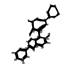 Cc1cc(C2CCCCC2)cc(-c2c3ccc(-c4cccnc4)cc3cc[n+]2C)c1C